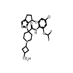 CC1CCc2cnn(C3(C(=O)Nc4ccc(Cl)cc4OC(F)F)CCN(C4CC(C(=O)O)C4)CC3)c21